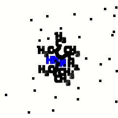 CCC(C)c1[nH]c(C(C)(C)CC)nc1C(C)C